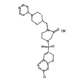 Cl.O=C1CN(S(=O)(=O)C2=Cc3ccc(Cl)cc3OC2)CCN1CC1CCN(c2ccncc2)CC1